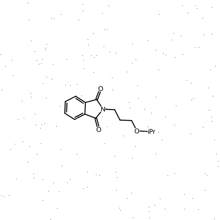 CC(C)OCCCN1C(=O)c2ccccc2C1=O